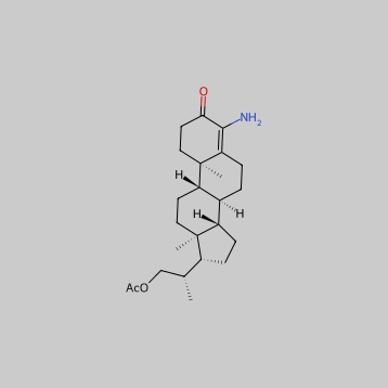 CC(=O)OC[C@@H](C)[C@H]1CC[C@H]2[C@@H]3CCC4=C(N)C(=O)CC[C@]4(C)[C@H]3CC[C@]12C